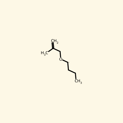 C=C(C)CO[CH]CCC